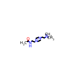 CC(=O)NCCN1CCN(CCN(C)C)CC1